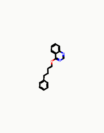 c1ccc(CCCCOc2ncnc3ccccc23)cc1